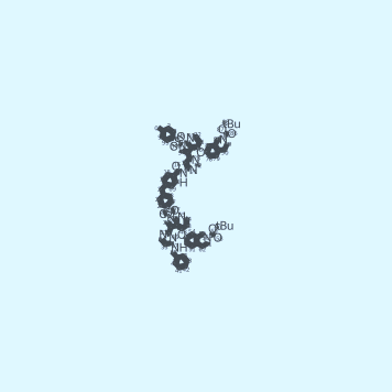 Cc1ccc(S(=O)(=O)n2cc(-c3cc(NC(=O)c4ccc(Cc5ccc(S(=O)(=O)n6cc(-c7nccc(NCc8ccccc8)n7)c7c(Oc8ccc9c(c8)CN(C(=O)OC(C)(C)C)CC9)ccnc76)cc5)cc4)ncn3)c3c(Oc4ccc5c(c4)CN(C(=O)OC(C)(C)C)CC5)ccnc32)cc1